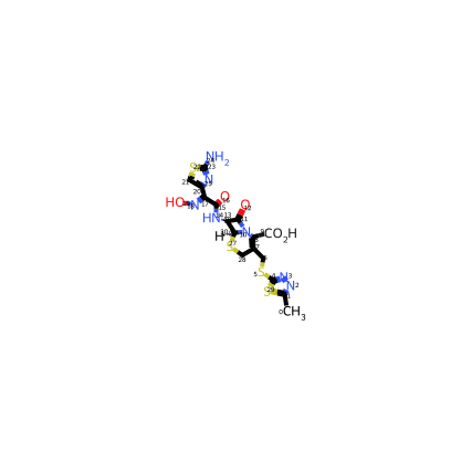 Cc1nnc(SCC2=C(C(=O)O)N3C(=O)[C@@H](NC(=O)C(=NO)c4csc(N)n4)[C@@H]3SC2)s1